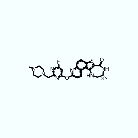 C[C@@H]1CNc2c(sc3ccc4nc(Oc5cc(F)nc(CN6CCN(C)CC6)n5)ccc4c23)C(=O)N1